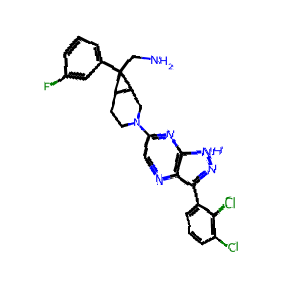 NCC1(c2cccc(F)c2)C2CCN(c3cnc4c(-c5cccc(Cl)c5Cl)n[nH]c4n3)CC21